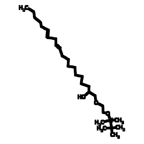 CCCCCC=CCC=CCCCCCCCCC(O)COCCO[Si](C)(C)C(C)(C)C